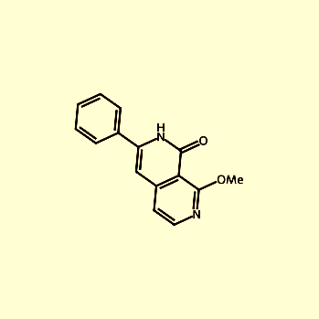 COc1nccc2cc(-c3ccccc3)[nH]c(=O)c12